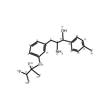 NC(Cc1cccc(OC(F)(F)C(F)F)c1)C(O)c1ccc(F)cc1